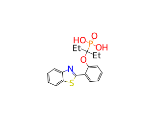 CCC(CC)(Oc1ccccc1-c1nc2ccccc2s1)P(=O)(O)O